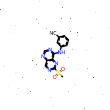 CS(=O)(=O)c1ncc2ncnc(Nc3cccc(C#N)c3)c2n1